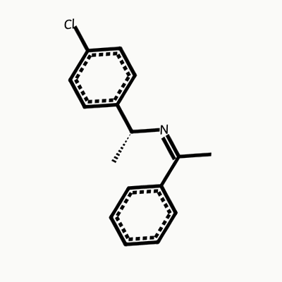 CC(=N[C@H](C)c1ccc(Cl)cc1)c1ccccc1